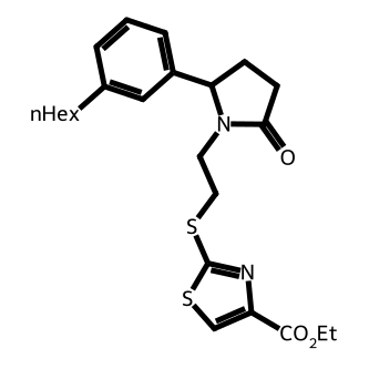 CCCCCCc1cccc(C2CCC(=O)N2CCSc2nc(C(=O)OCC)cs2)c1